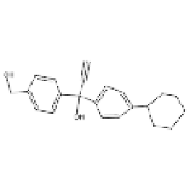 C#CC(O)(c1ccc(CO)cc1)c1ccc(C2CCCCC2)cc1